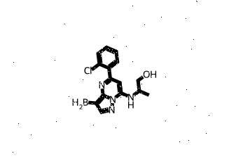 Bc1cnn2c(NC(C)CO)cc(-c3ccccc3Cl)nc12